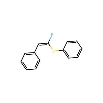 FC(=Cc1ccccc1)Sc1ccccc1